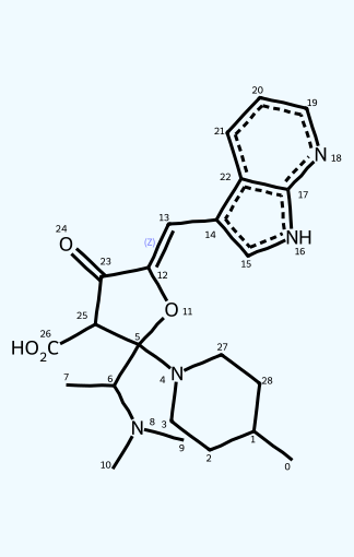 CC1CCN(C2(C(C)N(C)C)O/C(=C\c3c[nH]c4ncccc34)C(=O)C2C(=O)O)CC1